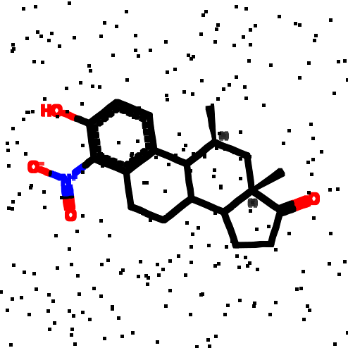 C[C@H]1C[C@]2(C)C(=O)CCC2C2CCc3c(ccc(O)c3[N+](=O)[O-])C21